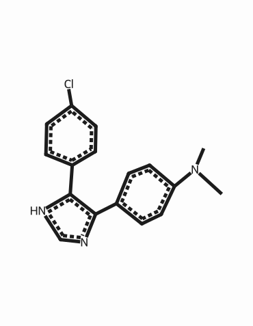 CN(C)c1ccc(-c2nc[nH]c2-c2ccc(Cl)cc2)cc1